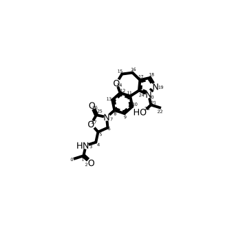 CC(=O)NCC1CN(c2ccc3c(c2)OCCc2cnn(C(C)O)c2-3)C(=O)O1